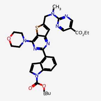 CCOC(=O)c1cnc(N(C)Cc2cc3nc(-c4cccc5c4ccn5C(=O)OC(C)(C)C)nc(N4CCOCC4)c3s2)nc1